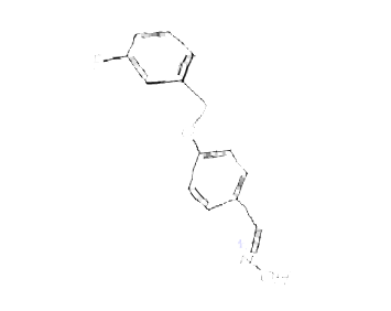 O/N=C/c1ccc(OCc2cccc(F)c2)cc1